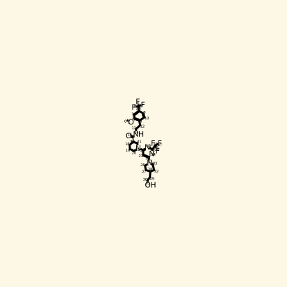 COc1cc(C(F)(F)F)ccc1CCNC(=O)[C@@H]1CCCN(c2cc(N3CCC(CCO)CC3)nc(C(F)(F)F)n2)C1